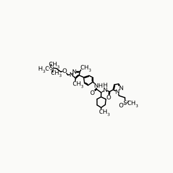 Cc1nn(COCC[Si](C)(C)C)c(C)c1-c1ccc(NC(=O)[C@@H](NC(=O)c2ccnn2CC[S+](C)[O-])C2CCC(C)CC2)cc1